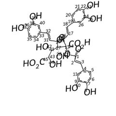 O=C(C=Cc1ccc(O)c(O)c1)O[C@](C(=O)O)(C(=O)C=Cc1ccc(O)c(O)c1)[C@](O)(C(=O)C=Cc1ccc(O)c(O)c1)[C@@H](O)[C@H](O)C(=O)O